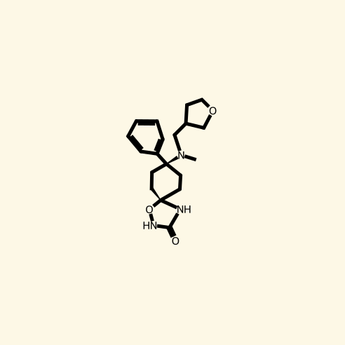 CN(CC1CCOC1)[C@]1(c2ccccc2)CC[C@@]2(CC1)NC(=O)NO2